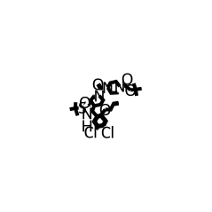 C=CCOc1cc(Cl)c(Cl)cc1[C@H](N[S@@+]([O-])C(C)(C)C)C1CCN(C(=O)N2CCN(C(=O)OC(C)(C)C)CC2)CC1